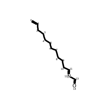 C=CCCCCCCCCCC=NC=O